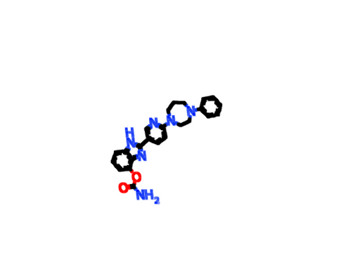 NC(=O)Oc1cccc2[nH]c(-c3ccc(N4CCCN(c5ccccc5)CC4)nc3)nc12